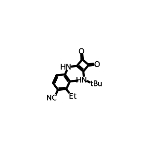 CCc1c(C#N)ccc(Nc2c(NC(C)(C)C)c(=O)c2=O)c1C